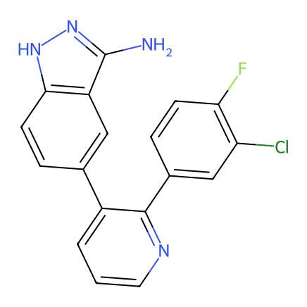 Nc1n[nH]c2ccc(-c3cccnc3-c3ccc(F)c(Cl)c3)cc12